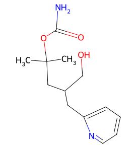 CC(C)(CC(CO)Cc1ccccn1)OC(N)=O